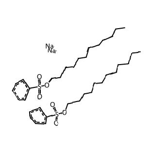 CCCCCCCCCCCCOS(=O)(=O)c1ccccc1.CCCCCCCCCCCCOS(=O)(=O)c1ccccc1.[Na].[Na]